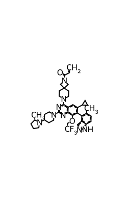 C=CC(=O)N1CC2(CCN(c3nc(N4CCC(N5CCC[C@@H]5C)CC4)nc4c(OCC(F)(F)F)c(-c5c(C)ccc6[nH]ncc56)c(C5CC5)cc34)CC2)C1